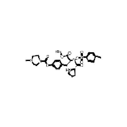 Cc1ccc(S(=O)(=O)CN(C(=O)[C@@H]2CCCN2)[C@@H](Cc2ccc(OC(=O)N3CCN(C)CC3)cc2)C(=O)OC(C)(C)C)cc1